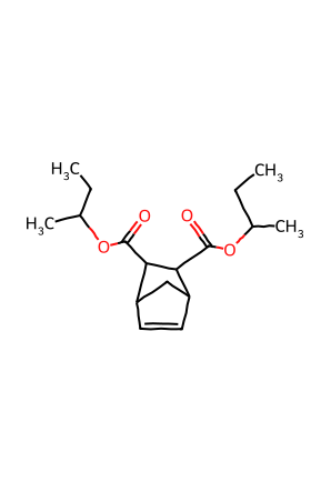 CCC(C)OC(=O)C1C2C=CC(C2)C1C(=O)OC(C)CC